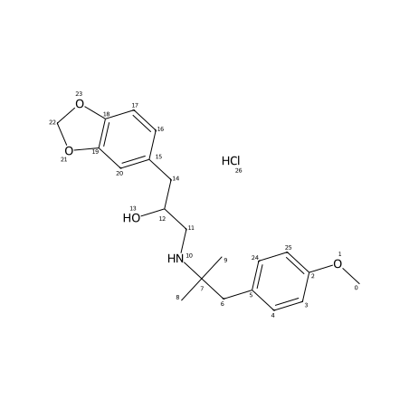 COc1ccc(CC(C)(C)NCC(O)Cc2ccc3c(c2)OCO3)cc1.Cl